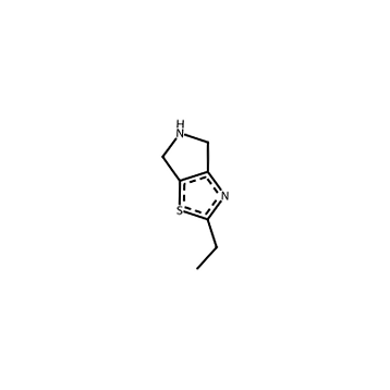 CCc1nc2c(s1)CNC2